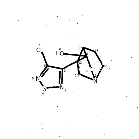 OC1(c2nsnc2Cl)CN2CCC1CC2